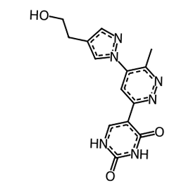 Cc1nnc(-c2c[nH]c(=O)[nH]c2=O)cc1-n1cc(CCO)cn1